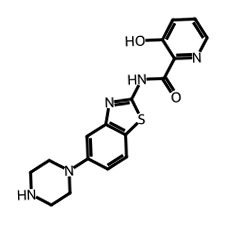 O=C(Nc1nc2cc(N3CCNCC3)ccc2s1)c1ncccc1O